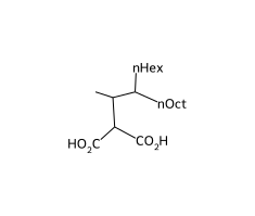 CCCCCCCCC(CCCCCC)C(C)C(C(=O)O)C(=O)O